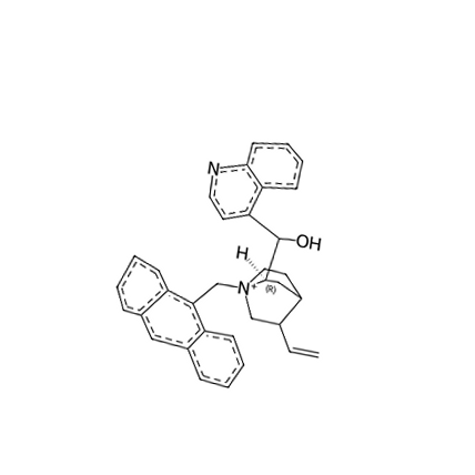 C=CC1C[N+]2(Cc3c4ccccc4cc4ccccc34)CCC1C[C@@H]2C(O)c1ccnc2ccccc12